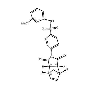 COc1cccc(NS(=O)(=O)c2ccc(N3C(=O)[C@@H]4[C@H](C3=O)[C@@H]3C=C[C@H]4C3)cc2)c1